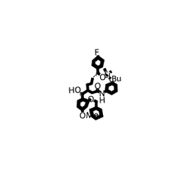 COc1ccc([C@H](O)C(CCC[C@@H](O[Si](C)(C)C(C)(C)C)c2ccc(F)cc2)CC(=O)Nc2ccccc2)c(OCc2ccccc2)c1